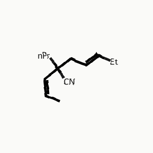 C/C=C\C(C#N)(C/C=C/CC)CCC